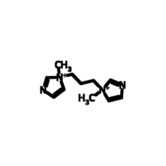 C[N+]1(CCC[N+]2(C)C=CN=C2)C=CN=C1